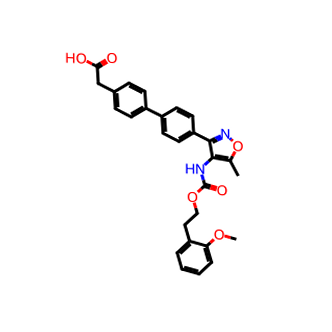 COc1ccccc1CCOC(=O)Nc1c(-c2ccc(-c3ccc(CC(=O)O)cc3)cc2)noc1C